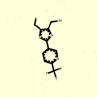 CCc1sc(-c2ccc(C(F)(F)F)nc2)nc1CO